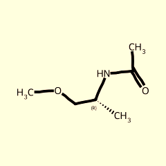 COC[C@@H](C)NC(C)=O